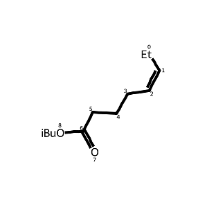 CC/C=C\CCCC(=O)OCC(C)C